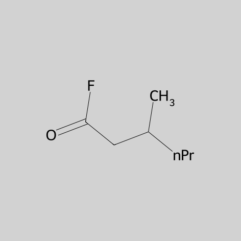 CCCC(C)CC(=O)F